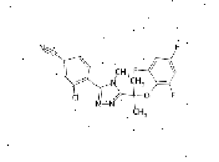 Cn1c(-c2ccc(C#N)cc2Cl)nnc1C(C)(C)Oc1c(F)cc(F)cc1F